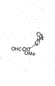 COc1cc(C=O)ccc1OCCCCN1CCN(c2nsc3ccccc23)CC1